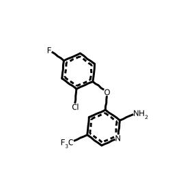 Nc1ncc(C(F)(F)F)cc1Oc1ccc(F)cc1Cl